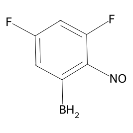 Bc1cc(F)cc(F)c1N=O